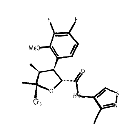 COc1c([C@H]2[C@H](C(=O)Nc3csnc3C)O[C@@](C)(C(F)(F)F)[C@H]2C)ccc(F)c1F